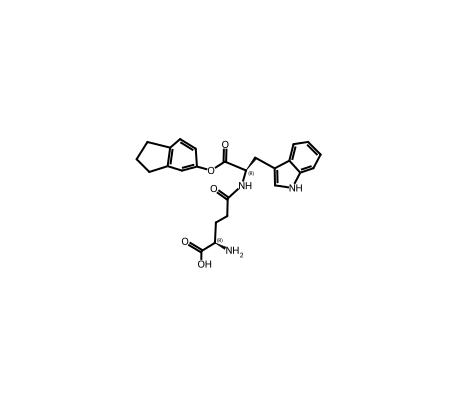 N[C@H](CCC(=O)N[C@H](Cc1c[nH]c2ccccc12)C(=O)Oc1ccc2c(c1)CCC2)C(=O)O